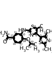 Cc1nc(C)c(-c2nc(Nc3cc(C(N)=O)ccc3OC(C)C)sc2C)s1